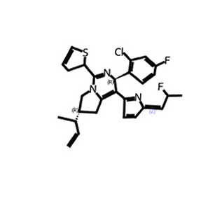 C=CC(C)[C@H]1CC2=C(C3=N/C(=C\C(C)F)C=C3)[C@H](c3ccc(F)cc3Cl)N=C(C3CC=CS3)N2C1